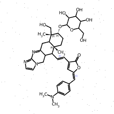 CN(C)c1ccc(/C=C2C=C(/C=C/C3C4Cn5ccnc5N=C4CC4[C@]3(C)CC[C@@H](OC3OC(CO)C(O)C(O)C3O)[C@@]4(C)CO)C(=O)O\2)cc1